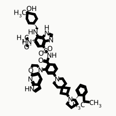 CC(C)c1ccccc1[C@@H]1CCCN1C1CC2(CCN(c3ccc(C(=O)NS(=O)(=O)c4cc([NH+](C)[O-])c(NC[C@H]5CC[C@](C)(O)CC5)c5[nH]cnc45)c(N4CCOc5nc6[nH]ccc6cc54)c3)CC2)C1